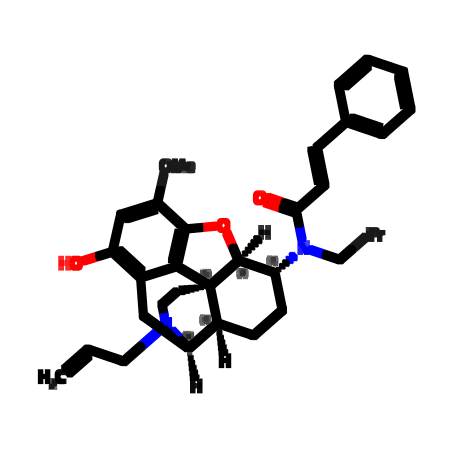 C=CCN1CC[C@]23c4c5c(O)cc(OC)c4O[C@H]2[C@H](N(CC(C)C)C(=O)C=Cc2ccccc2)CC[C@H]3[C@H]1C5